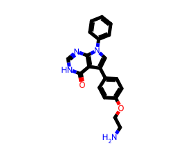 NCCOc1ccc(-c2cn(-c3ccccc3)c3nc[nH]c(=O)c23)cc1